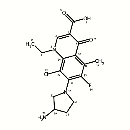 CCn1cc(C(=O)O)c(=O)c2c(C)c(F)c(N3CCC(N)C3)c(Cl)c21